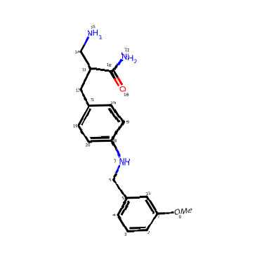 COc1cccc(CNc2ccc(CC(CN)C(N)=O)cc2)c1